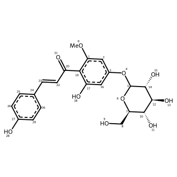 COc1cc(OC2O[C@H](CO)[C@@H](O)[C@H](O)[C@H]2O)cc(O)c1C(=O)/C=C/c1ccc(O)cc1